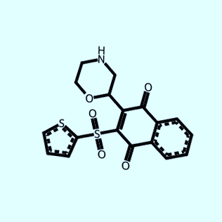 O=C1C(C2CNCCO2)=C(S(=O)(=O)c2cccs2)C(=O)c2ccccc21